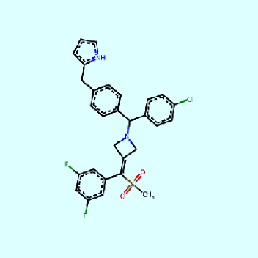 CS(=O)(=O)C(=C1CN(C(c2ccc(Cl)cc2)c2ccc(Cc3ccc[nH]3)cc2)C1)c1cc(F)cc(F)c1